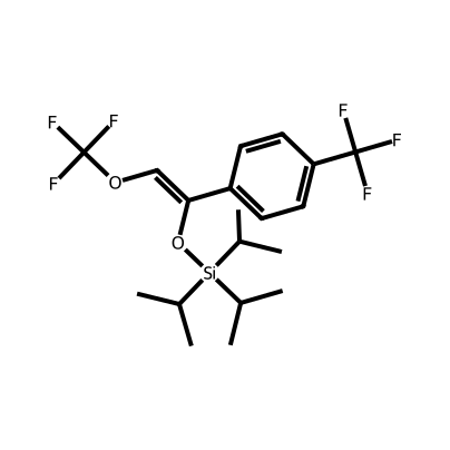 CC(C)[Si](OC(=COC(F)(F)F)c1ccc(C(F)(F)F)cc1)(C(C)C)C(C)C